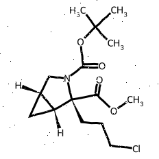 COC(=O)[C@]1(CCCCl)[C@@H]2C[C@@H]2CN1C(=O)OC(C)(C)C